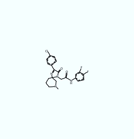 CN1CCCC2(C1)N=C(c1ccc(Cl)cc1)C(=O)N2CC(=O)Nc1ccc(F)c(F)c1